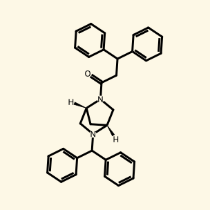 O=C(CC(c1ccccc1)c1ccccc1)N1C[C@H]2C[C@@H]1CN2C(c1ccccc1)c1ccccc1